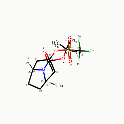 CC(C)(C)OC(=O)N1[C@H]2CC[C@@H]1C=C(OS(=O)(=O)C(F)(F)F)C2